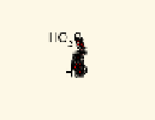 Cc1c(-c2ccc3c(c2)CN(CCC(=O)O)C3)cccc1-c1cccc(-c2nc3cc(COC(=O)[C@@H]4CCCN4)c(OC(F)F)cc3o2)c1C